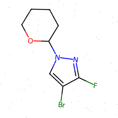 Fc1nn(C2CCCCO2)cc1Br